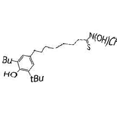 CN(O)C(=S)CCCCCCCc1cc(C(C)(C)C)c(O)c(C(C)(C)C)c1